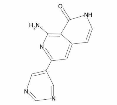 Nc1nc(-c2cncnc2)cc2cc[nH]c(=O)c12